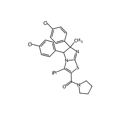 CC(C)C1=C(C(=O)N2CCCC2)SC2=NC(C)(c3ccc(Cl)cc3)C(c3ccc(Cl)cc3)N21